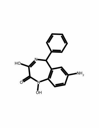 Nc1ccc2c(c1)C(c1ccccc1)N=C(O)C(=O)N2O